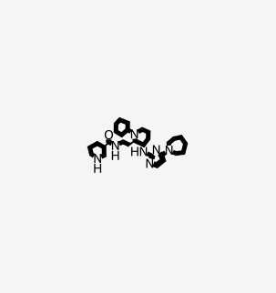 O=C(NCC[C@@H]1[C@@H](Nc2nccc(N3CCCCCC3)n2)CCCN1C1CCCCC1)[C@@H]1CCCNC1